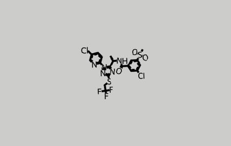 CC(NC(=O)c1cc(Cl)cc(S(C)(=O)=O)c1)c1nc(SCC(F)(F)F)nn1-c1ccc(Cl)cn1